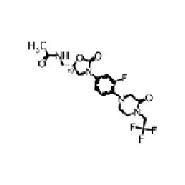 CC(=O)NC[C@H]1CN(c2ccc(N3CCN(CC(F)(F)F)C(=O)C3)c(F)c2)C(=O)O1